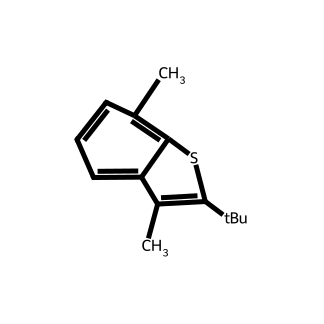 Cc1c(C(C)(C)C)sc2c(C)cccc12